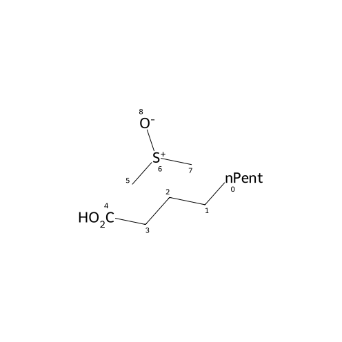 CCCCCCCCC(=O)O.C[S+](C)[O-]